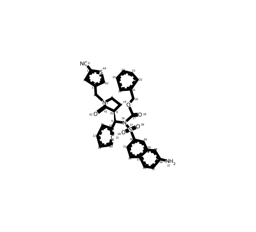 N#Cc1cc(CN2CC[C@@H](C(c3ccccc3)N(C(=O)OCc3ccccc3)S(=O)(=O)c3ccc4ccc(N)cc4c3)C2=O)cs1